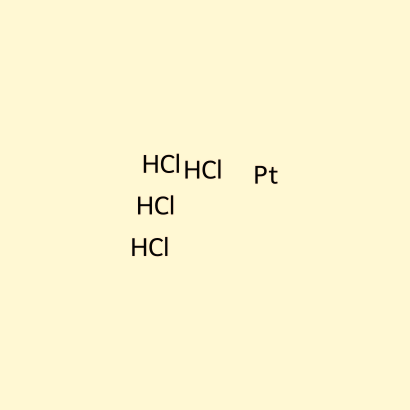 Cl.Cl.Cl.Cl.[Pt]